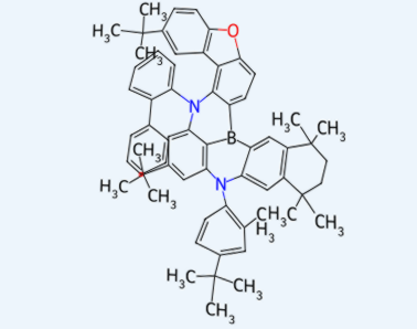 Cc1cc(C(C)(C)C)ccc1N1c2cc3c(cc2B2c4ccc5oc6ccc(C(C)(C)C)cc6c5c4N(c4ccccc4-c4ccccc4)c4cc(C(C)(C)C)cc1c42)C(C)(C)CCC3(C)C